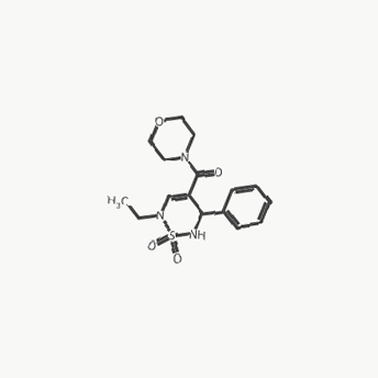 CCN1C=C(C(=O)N2CCOCC2)C(c2ccccc2)NS1(=O)=O